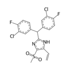 C=Cc1[nH]c(C(c2ccc(F)c(Cl)c2)c2ccc(F)c(Cl)c2)nc1S(C)(=O)=O